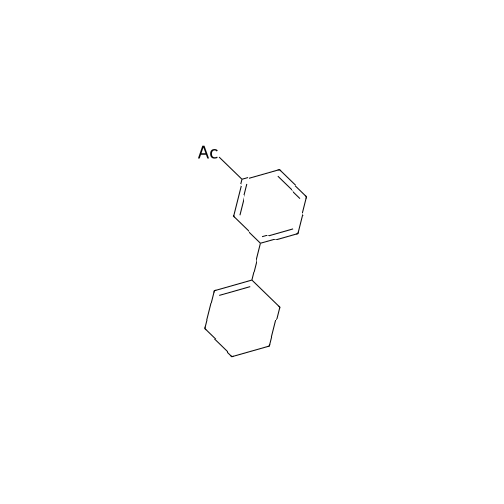 CC(=O)c1cccc(C2=CCCCC2)c1